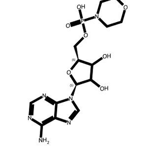 Nc1ncnc2c1ncn2[C@H]1O[C@@H](COP(=O)(O)N2CCOCC2)C(O)C1O